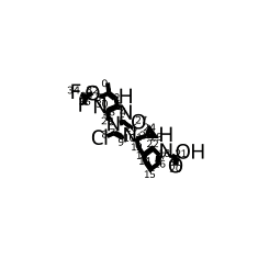 Cc1cc(Nc2nc(Cl)cn(C(Cc3cccc(NC(=O)O)c3)C3CC3)c2=O)c(C)nc1OC(F)F